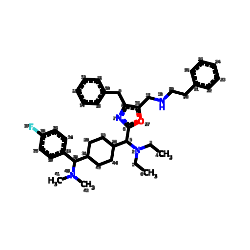 CCN(CC)C(c1nc(Cc2ccccc2)c(CNCCc2ccccc2)o1)C1CCC(C(c2ccc(F)cc2)N(C)C)CC1